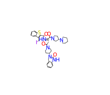 O=C(N[C@@H](CC(=O)N1CCC(N2Cc3ccccc3NC2=O)CC1)C(=O)N1CCC(N2CCCCC2)CC1)c1sc2ccccc2c1CI